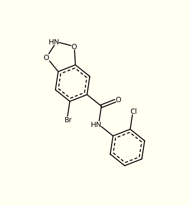 O=C(Nc1ccccc1Cl)c1cc2c(cc1Br)ONO2